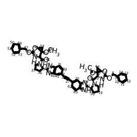 COC1([C@H](NC(=O)OCc2ccccc2)C(=O)N2CCC[C@H]2c2nc3cc(C#Cc4ccc5[nH]c([C@@H]6CCCN6C(=O)[C@@H](NC(=O)OCc6ccccc6)C6(OC)CC6)nc5c4)ccc3[nH]2)CC1